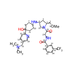 COC[C@@H]1C[C@H](NC2CCC(O)(c3ccc(CN(C)C)cn3)CC2)CN1C(=O)CNC(=O)c1cccc(C(F)(F)F)c1